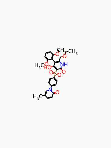 CCOCc1[nH]c(=O)c(S(=O)(=O)c2ccc(-n3cc(C)ccc3=O)cc2)c(O)c1-c1c(OC)cccc1OC